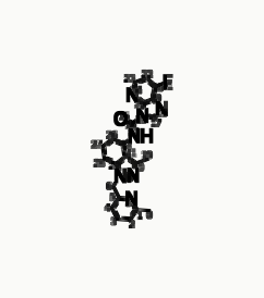 Cc1cccc(Cn2nc(C)c3c(NC(=O)n4cnc5c(F)ccnc54)cccc32)n1